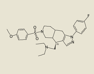 CCN(CC)C[C@@H]1c2cnn(-c3ccc(F)cc3)c2CC2CCN(S(=O)(=O)c3ccc(OC)cc3)CC21